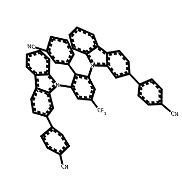 N#Cc1ccc(-c2ccc3c4ccccc4n(-c4cc(C(F)(F)F)cc(-n5c6ccccc6c6ccc(-c7ccc(C#N)cc7)cc65)c4-c4cccc(C#N)c4)c3c2)cc1